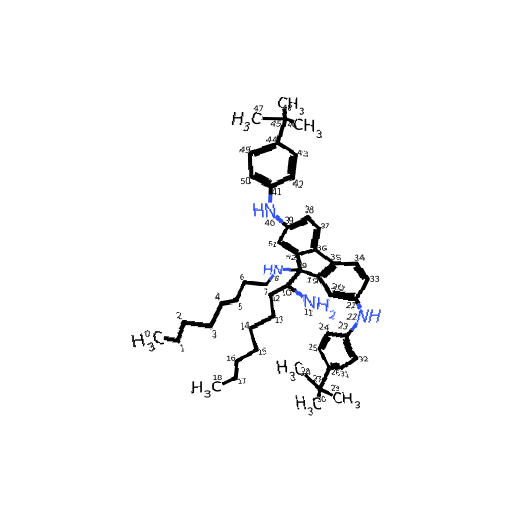 CCCCCCCCNC1(C(N)CCCCCCC)c2cc(Nc3ccc(C(C)(C)C)cc3)ccc2-c2ccc(Nc3ccc(C(C)(C)C)cc3)cc21